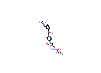 CC(=O)NC[C@H]1CN(c2ccc(/C=C(\Br)c3cccc(NC(C)=O)c3)c(F)c2)C(=O)O1